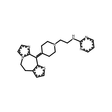 c1cnc(NCCN2CCC(=C3c4sccc4CCn4ccnc43)CC2)nc1